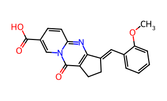 COc1ccccc1C=C1CCc2c1nc1ccc(C(=O)O)cn1c2=O